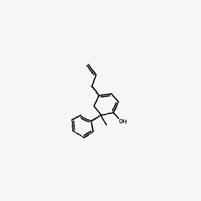 C=CCC1=CC=C(O)C(C)(c2ccccc2)C1